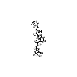 O=C(NCCN1CCOCC1)c1cn2c(C(=O)NCC34CC5CCC6(CC6C3)C5C4)cccc2n1